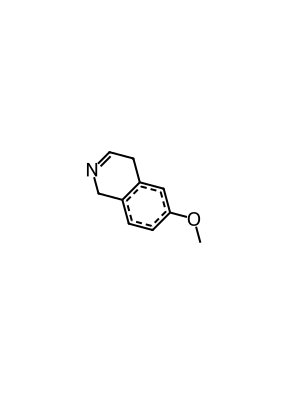 COc1ccc2c(c1)CC=NC2